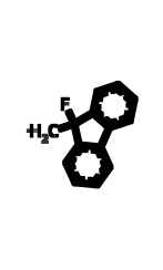 [CH2]C1(F)c2ccccc2-c2ccccc21